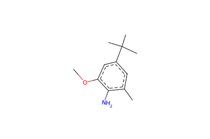 COc1cc(C(C)(C)C)cc(C)c1N